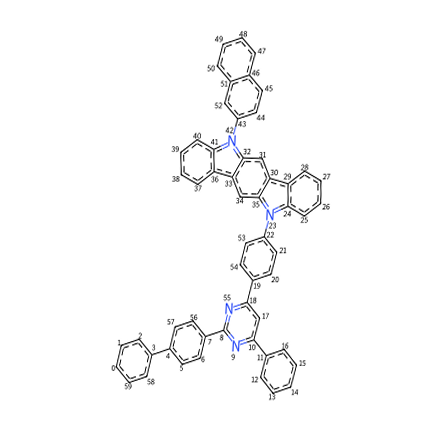 c1ccc(-c2ccc(-c3nc(-c4ccccc4)cc(-c4ccc(-n5c6ccccc6c6cc7c(cc65)c5ccccc5n7-c5ccc6ccccc6c5)cc4)n3)cc2)cc1